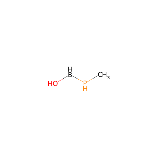 CPBO